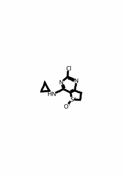 [O-][S+]1CCc2nc(Cl)nc(NC3CC3)c21